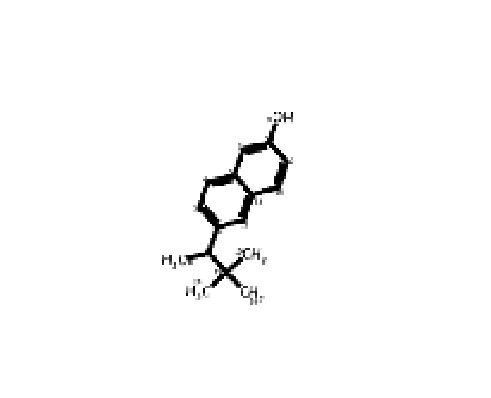 CC(c1ccc2cc(O)ccc2c1)C(C)(C)C